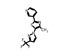 Cc1nc(-c2cccnc2)sc1-n1ccc(C(F)(F)F)n1